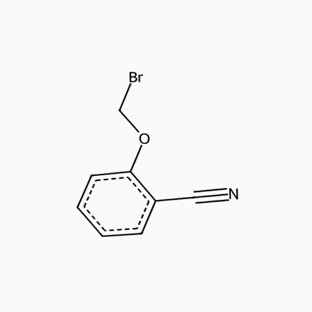 N#Cc1ccccc1OCBr